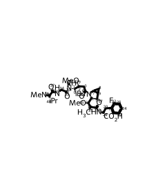 CC[C@H](C)[C@@H]([C@@H](CC(=O)N1C2CC2C[C@H]1[C@H](OC)C(C)C(=O)N[C@@H](Cc1ccccc1F)C(=O)O)OC)N(C)C(=O)CNC(=O)C(NC)C(C)C